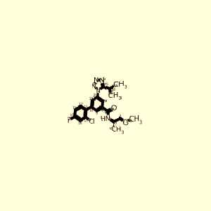 COC[C@H](C)NC(=O)c1cc(-c2ccc(F)cc2Cl)cc(-n2nnnc2C(C)C)c1